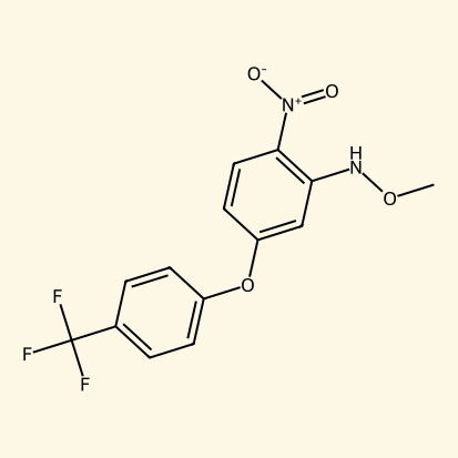 CONc1cc(Oc2ccc(C(F)(F)F)cc2)ccc1[N+](=O)[O-]